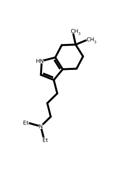 CCN(CC)CCCc1c[nH]c2c1CCC(C)(C)C2